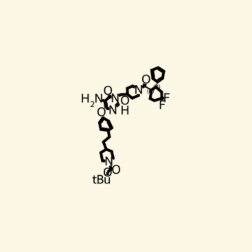 CC(C)(C)OC(=O)N1CCC(CCc2ccc(Oc3ncn(CC4(O)CCN(C(=O)[C@@H]5CCC(F)(F)C[C@H]5c5ccccc5)CC4)c(=O)c3N)cc2)CC1